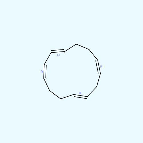 [C]1=C/C=C\CC/C=C/C/C=C\CC/1